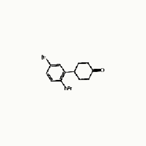 CCCc1ccc(Br)cc1C1CCC(=O)CC1